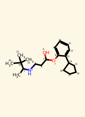 CC(NCCC(O)Oc1ccccc1C1CCCC1)C(C)(C)C